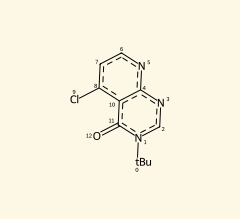 CC(C)(C)n1cnc2nccc(Cl)c2c1=O